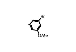 COc1c[c]cc(Br)c1